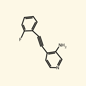 Nc1cnccc1C#Cc1ccccc1F